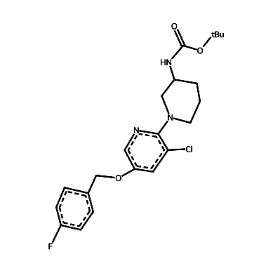 CC(C)(C)OC(=O)NC1CCCN(c2ncc(OCc3ccc(F)cc3)cc2Cl)C1